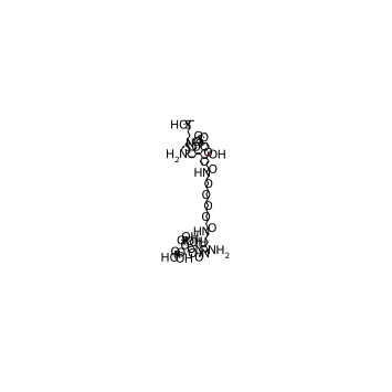 C/C=S(/O)CCCCN/S(=C/C)c1c(N)ccc2c(-c3ccc(C(=O)NCCOCCOCCOCCOCCC(=O)NCCCc4cn([C@@H]5O[C@H](COP(=O)(O)O)[C@H](OP(=O)(O)O)[C@@H]5O)c(=O)nc4N)cc3C(=O)O)c3cccc(S(=O)(=O)[O-])c3[o+]c12